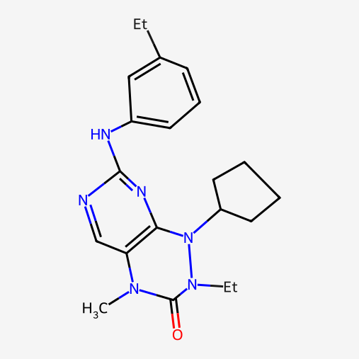 CCc1cccc(Nc2ncc3c(n2)N(C2CCCC2)N(CC)C(=O)N3C)c1